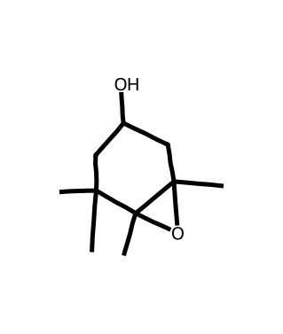 CC1(C)CC(O)CC2(C)OC12C